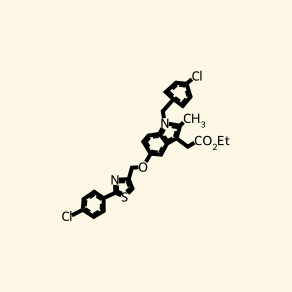 CCOC(=O)Cc1c(C)n(Cc2ccc(Cl)cc2)c2ccc(OCc3csc(-c4ccc(Cl)cc4)n3)cc12